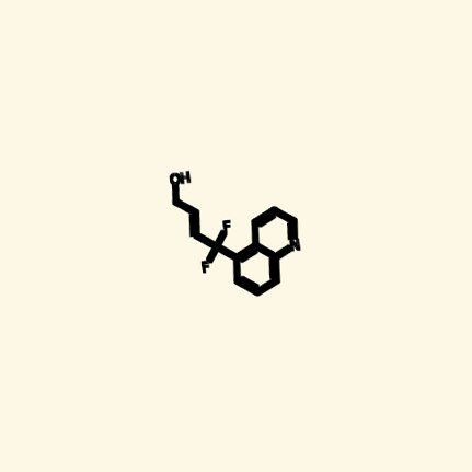 OC/C=C/C(F)(F)c1cccc2ncccc12